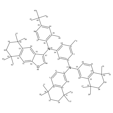 Cc1cc(N(c2ccc3c(c2)C(C)(C)CCC3(C)C)c2ccc3c(c2)C(C)(C)CCC3(C)C)cc(N(c2ccc(C(C)(C)C)cc2C)c2coc3cc4c(cc23)C(C)(C)CCC4(C)C)c1